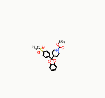 CC(C)(C)OC(=O)N1CCC(C2(c3ccc(S(C)(=O)=O)cc3)Oc3ccccc3O2)CC1